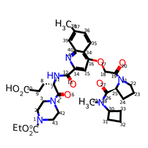 CCOC(=O)N1CCN(C(=O)[C@H](CCC(=O)O)NC(=O)c2cc(OCC(=O)N3CCC[C@H]3C(=O)N(C)C3CCC3)c3ccc(C)cc3n2)CC1